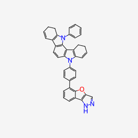 C1=Cc2c(c3c(ccc4c5c(n(-c6ccccc6)c43)CCC=C5)n2-c2ccc(-c3cccc4c3oc3cn[nH]c34)cc2)CC1